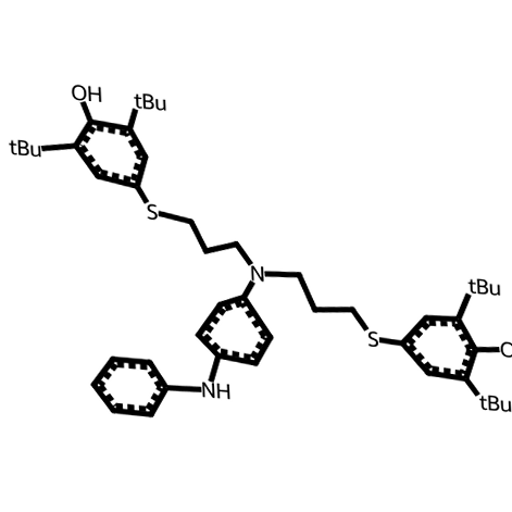 CC(C)(C)c1cc(SCCCN(CCCSc2cc(C(C)(C)C)c(O)c(C(C)(C)C)c2)c2ccc(Nc3ccccc3)cc2)cc(C(C)(C)C)c1O